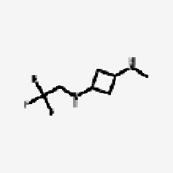 CNC1CC(NCC(F)(F)F)C1